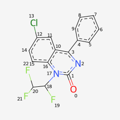 O=c1nc(-c2ccccc2)c2cc(Cl)ccc2n1C(F)C(F)F